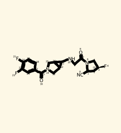 N#CC1C[C@H](F)CN1C(=O)CNC1C2CN(C(=O)c3ccc(F)c(F)c3)CC21